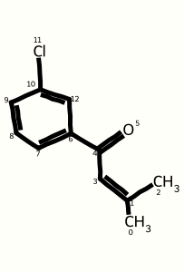 CC(C)=CC(=O)c1cccc(Cl)c1